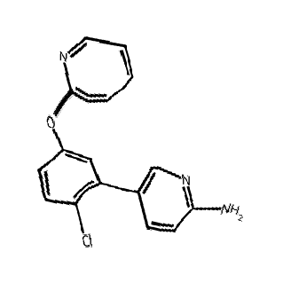 Nc1ccc(-c2cc(Oc3ccccn3)ccc2Cl)cn1